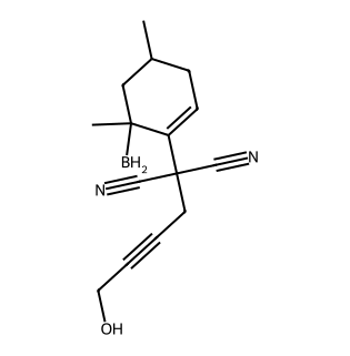 BC1(C)CC(C)CC=C1C(C#N)(C#N)CC#CCO